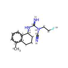 Cc1cccc2c1CCCC2NC(=N)N(C#N)CCF